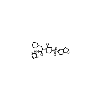 O=C(Nc1nccs1)C(CC1CCCCC1)N1CCN(S(=O)(=O)c2ccc3c(c2)CCO3)CC1=O